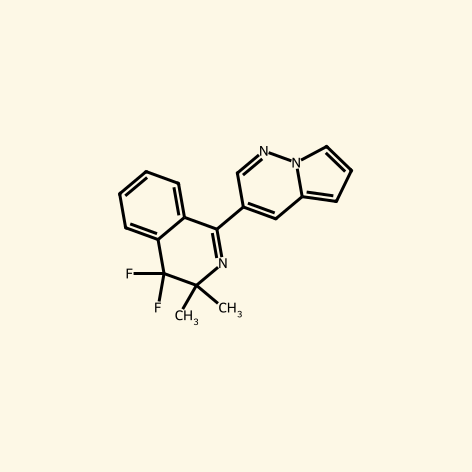 CC1(C)N=C(c2cnn3cccc3c2)c2ccccc2C1(F)F